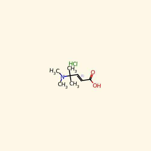 CN(C)C(C)(C)/C=C/C(=O)O.Cl